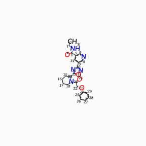 CCNC(=O)c1cncc(-c2noc([C@H]3CCCCN3C(=O)COc3ccccc3)n2)c1